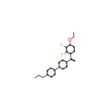 C=C(c1ccc(-c2ccc(CCC)cc2)cc1)c1ccc(OCC)c(F)c1F